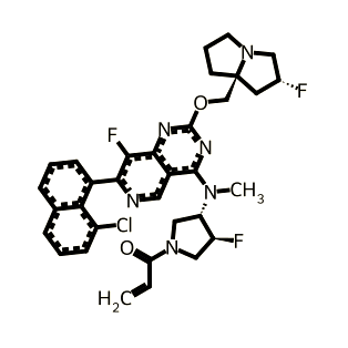 C=CC(=O)N1C[C@H](F)[C@@H](N(C)c2nc(OC[C@@]34CCCN3C[C@H](F)C4)nc3c(F)c(-c4cccc5cccc(Cl)c45)ncc23)C1